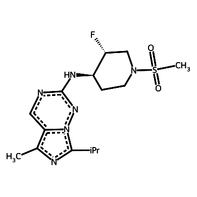 Cc1nc(C(C)C)n2nc(N[C@@H]3CCN(S(C)(=O)=O)C[C@H]3F)ncc12